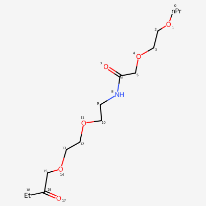 CCCOCCOCC(=O)NCCOCCOCC(=O)CC